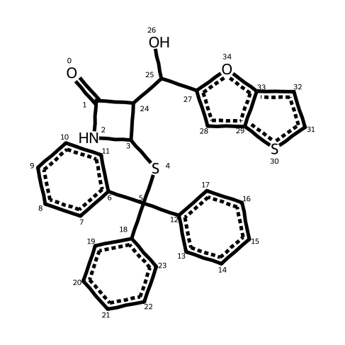 O=C1NC(SC(c2ccccc2)(c2ccccc2)c2ccccc2)C1C(O)c1cc2sccc2o1